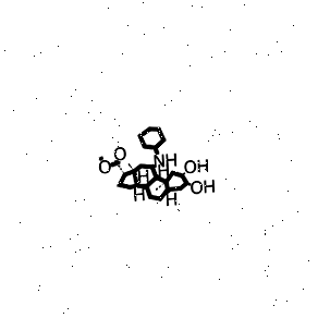 COC(=O)[C@H]1CC[C@H]2[C@@H]3CC[C@H]4C[C@H](O)[C@@H](O)C[C@]4(C)[C@H]3[C@H](NC3CCCCC3)C[C@]12C